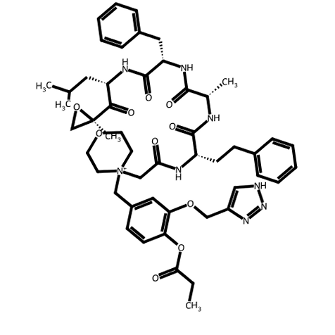 CCC(=O)Oc1ccc(C[N+]2(CC(=O)N[C@@H](CCc3ccccc3)C(=O)N[C@@H](C)C(=O)N[C@@H](Cc3ccccc3)C(=O)N[C@@H](CC(C)C)C(=O)[C@@]3(C)CO3)CCOCC2)cc1OCc1c[nH]nn1